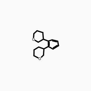 [c]1cccc(C2CCCOC2)c1C1CCCOC1